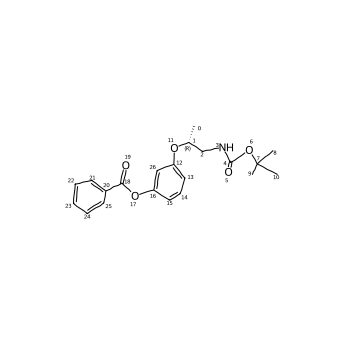 C[C@H](CNC(=O)OC(C)(C)C)Oc1cccc(OC(=O)c2ccccc2)c1